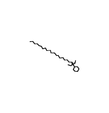 CCCCCCCCCCCCCCCCCCCC[N+](CC)(CC)C1CCCCC1